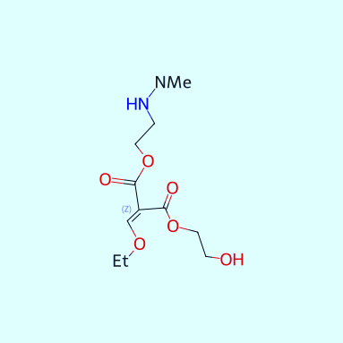 CCO/C=C(\C(=O)OCCO)C(=O)OCCNNC